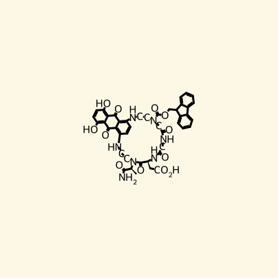 C[C@@H](C(N)=O)N1CCNc2ccc(c3c2C(=O)c2c(O)ccc(O)c2C3=O)NCCN(C(=O)OCC2c3ccccc3-c3ccccc32)CC(=O)NCC(=O)N[C@@H](CC(=O)O)C1=O